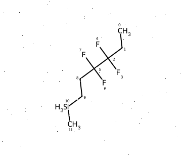 CCC(F)(F)C(F)(F)CC[SiH2]C